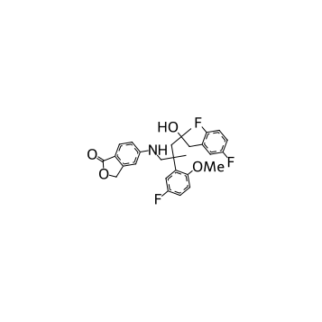 COc1ccc(F)cc1C(C)(CNc1ccc2c(c1)COC2=O)CC(C)(O)Cc1cc(F)ccc1F